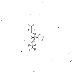 CN1CCN(P(=O)(OCC(F)(F)C(F)F)OCC(F)(F)C(F)F)CC1